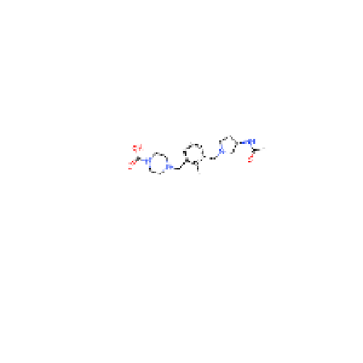 CC(=O)N[C@@H]1CCN(Cc2cccc(CN3CCN(C(=O)O)CC3)c2C)C1